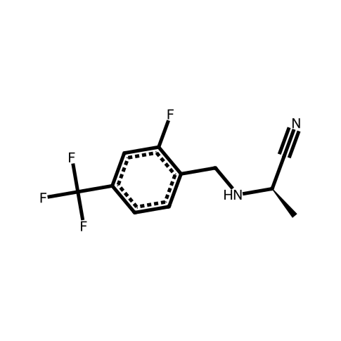 C[C@H](C#N)NCc1ccc(C(F)(F)F)cc1F